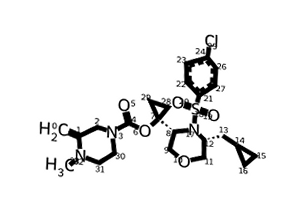 C=C1CN(C(=O)OC2([C@H]3COC[C@@H](CC4CC4)N3S(=O)(=O)c3ccc(Cl)cc3)CC2)CCN1C